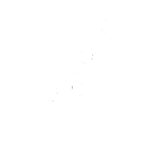 C=CC(=O)OCOc1ccc(OC(=O)c2ccc(OC(CCCCCC)C3CC(=C)C(=O)O3)cc2)cc1